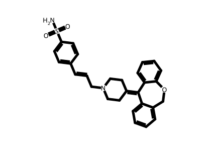 NS(=O)(=O)c1ccc(C=CCN2CCC(=C3c4ccccc4COc4ccccc43)CC2)cc1